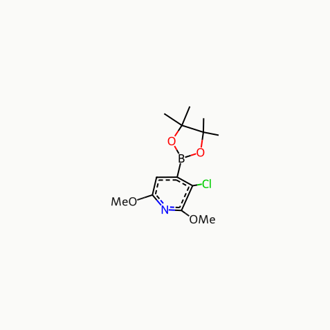 COc1cc(B2OC(C)(C)C(C)(C)O2)c(Cl)c(OC)n1